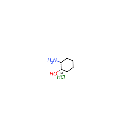 Cl.NC1CCCC[C@@H]1O